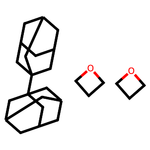 C1C2CC3CC1CC(C14CC5CC(CC(C5)C1)C4)(C2)C3.C1COC1.C1COC1